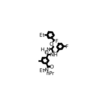 CCCN(CC)C(=O)c1cc(C)cc(C(=O)N[C@@H](Cc2cc(F)cc(F)c2)C(N)COCc2cccc(CC)c2)c1